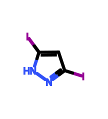 Ic1cc(I)[nH]n1